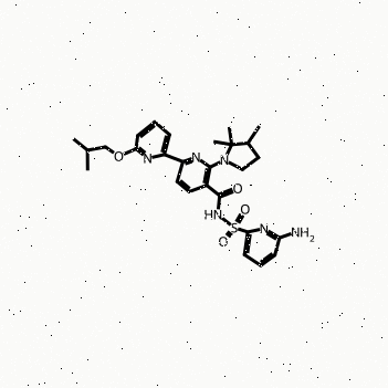 CC(C)COc1cccc(-c2ccc(C(=O)NS(=O)(=O)c3cccc(N)n3)c(N3CCC(C)C3(C)C)n2)n1